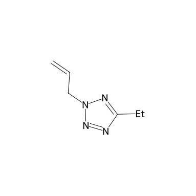 C=CCn1nnc(CC)n1